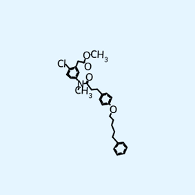 COC(=O)Cc1cc(N(C)C(=O)CCc2ccc(OCCCCCc3ccccc3)cc2)ccc1Cl